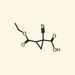 CCOC(=O)C1CC1(C#N)C(=O)O